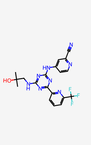 CC(C)(O)CNc1nc(Nc2ccnc(C#N)c2)nc(-c2cccc(C(F)(F)F)n2)n1